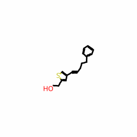 OCCc1cc(C#CCCCc2ccccc2)cs1